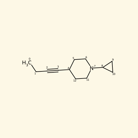 CCC#CC1CCN(C2CC2)CC1